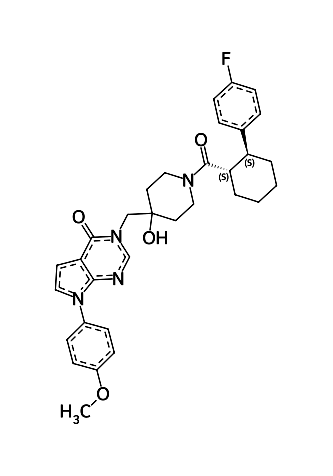 COc1ccc(-n2ccc3c(=O)n(CC4(O)CCN(C(=O)[C@H]5CCCC[C@@H]5c5ccc(F)cc5)CC4)cnc32)cc1